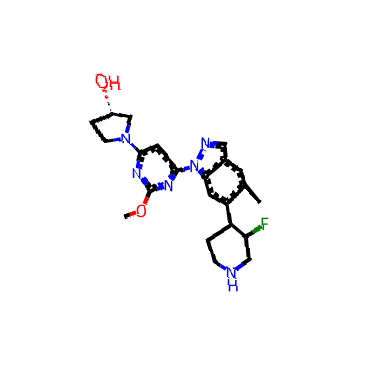 COc1nc(N2CC[C@H](O)C2)cc(-n2ncc3cc(C)c(C4CCNCC4F)cc32)n1